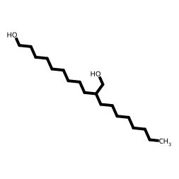 CCCCCCCCC(CO)CCCCCCCCCO